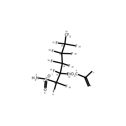 C=C(C)C(=O)OCC.NS(=O)(=O)C(F)(F)C(F)(F)C(F)(F)C(F)(F)C(F)(F)C(F)(F)F